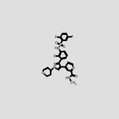 CNC(=O)c1cc(-c2cn(C3CCOCC3)nc2-c2cccc(NS(=O)(=O)c3cc(F)ccc3F)c2F)ccn1